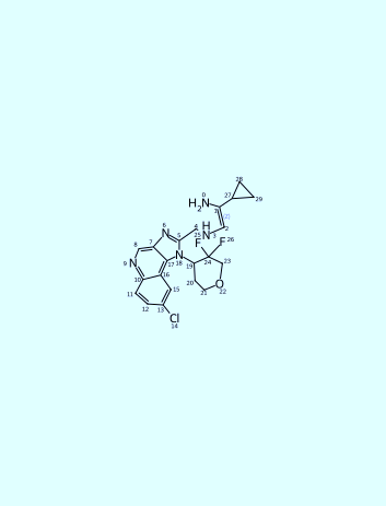 N/C(=C\NCc1nc2cnc3ccc(Cl)cc3c2n1C1CCOCC1(F)F)C1CC1